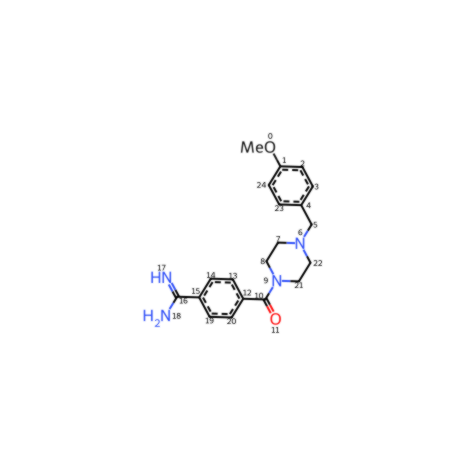 COc1ccc(CN2CCN(C(=O)c3ccc(C(=N)N)cc3)CC2)cc1